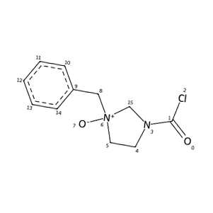 O=C(Cl)N1CC[N+]([O-])(Cc2ccccc2)C1